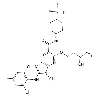 CN(C)CCOc1nc2c(cc1C(=O)N[C@H]1CC[C@H](C(F)(F)F)CC1)nc(Nc1c(Cl)cc(F)cc1Cl)n2C